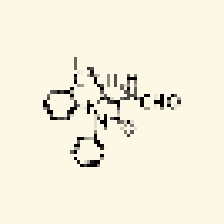 Cc1ccccc1-n1c(C)c(NC=O)c(=O)n1-c1ccccc1